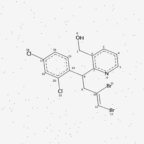 OCc1cccnc1C(CC(Br)=CBr)c1ccc(Cl)cc1Cl